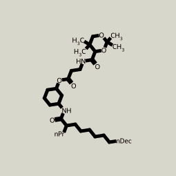 CCCCCCCCCCCCCCCCC(CCC)C(=O)NC1CCCC(OC(=O)CCNC(=O)C2OC(C)(C)OCC2(C)C)C1